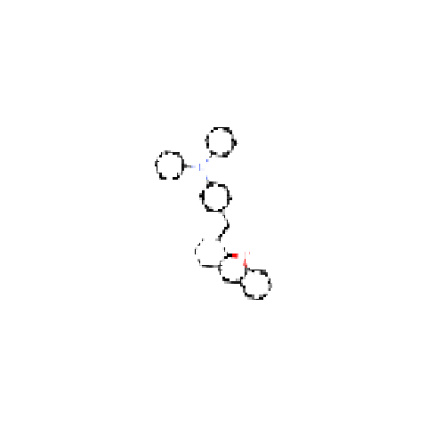 C(=C1CCCc2cc3ccccc3[o+]c21)c1ccc(N(c2ccccc2)c2ccccc2)cc1